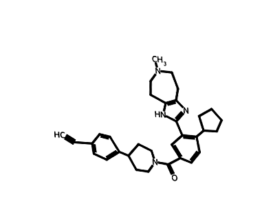 C#Cc1ccc(C2CCN(C(=O)c3ccc(C4CCCC4)c(-c4nc5c([nH]4)CCN(C)CC5)c3)CC2)cc1